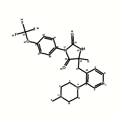 CN1CCN(c2cnccc2CC2(C)NC(=O)N(c3ccc(OC(F)(F)F)cc3)C2=O)CC1